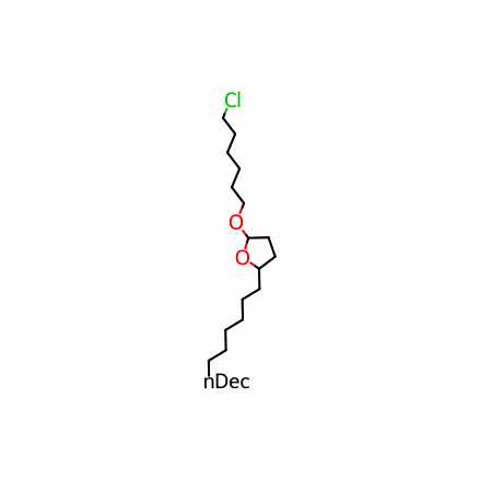 CCCCCCCCCCCCCCCCC1CCC(OCCCCCCCl)O1